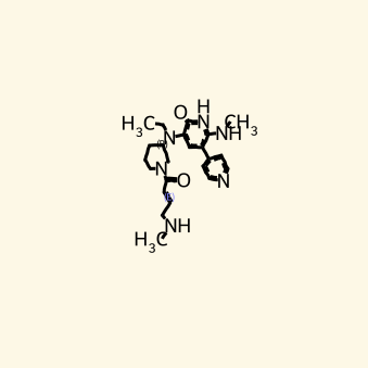 CCN(c1cc(-c2ccncc2)c(NC)[nH]c1=O)[C@@H]1CCCN(C(=O)/C=C/CNC)C1